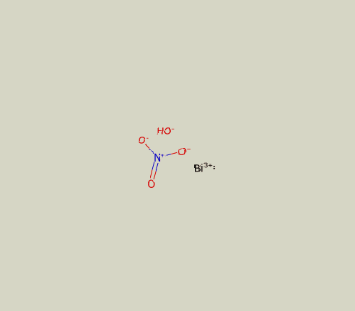 O=[N+]([O-])[O-].[Bi+3].[OH-]